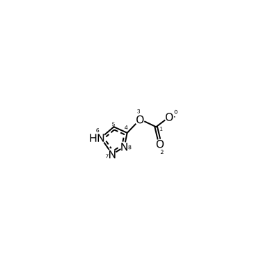 [O]C(=O)Oc1c[nH]nn1